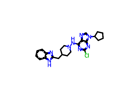 Clc1nc(NN2CCC(Cc3nc4ccccc4[nH]3)CC2)c2ncn(C3CCCC3)c2n1